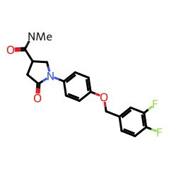 CNC(=O)C1CC(=O)N(c2ccc(OCc3ccc(F)c(F)c3)cc2)C1